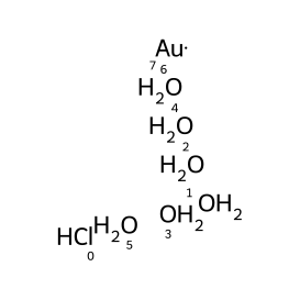 Cl.O.O.O.O.O.O.[Au]